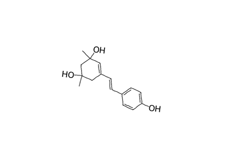 CC1(O)C=C(C=Cc2ccc(O)cc2)CC(C)(O)C1